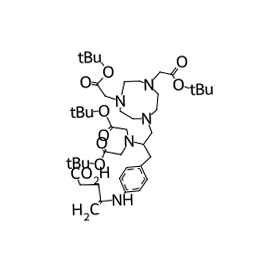 C=C(CCC(=O)O)Nc1ccc(CC(CN2CCN(CC(=O)OC(C)(C)C)CCN(CC(=O)OC(C)(C)C)CC2)N(CC(=O)OC(C)(C)C)CC(=O)OC(C)(C)C)cc1